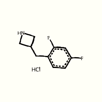 Cl.Fc1ccc(CC2CNC2)c(F)c1